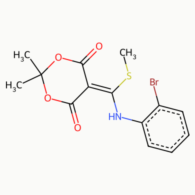 CSC(Nc1ccccc1Br)=C1C(=O)OC(C)(C)OC1=O